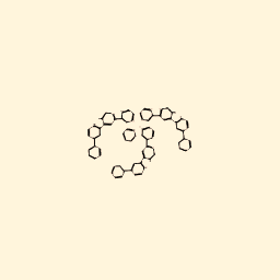 c1ccc(-c2ccc3oc4cc5oc6ccc([Si](c7ccccc7)(c7ccc8oc9cc%10oc%11ccc(-c%12ccccc%12)cc%11c%10cc9c8c7)c7ccc8oc9cc%10oc%11ccc(-c%12ccccc%12)cc%11c%10cc9c8c7)cc6c5cc4c3c2)cc1